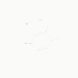 COC(c1c(F)c(C)c(C)c(F)c1F)(C(F)(F)F)C(F)(F)F